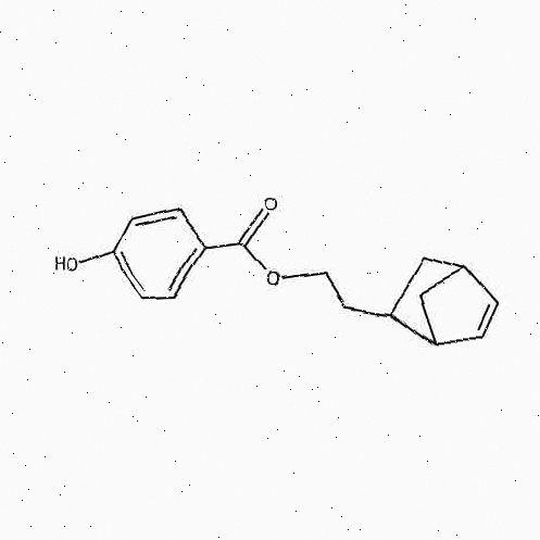 O=C(OCCC1CC2C=CC1C2)c1ccc(O)cc1